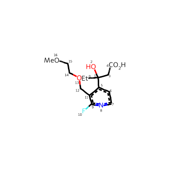 CCC(O)(CC(=O)O)c1ccnc(F)c1COCCOC